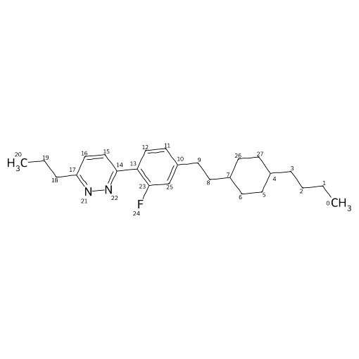 CCCCC1CCC(CCc2ccc(-c3ccc(CCC)nn3)c(F)c2)CC1